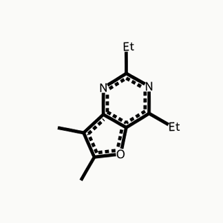 CCc1nc(CC)c2oc(C)c(C)c2n1